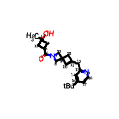 CC1(O)CC(C(=O)N2CC3(CC(Cc4cc(C(C)(C)C)ccn4)C3)C2)C1